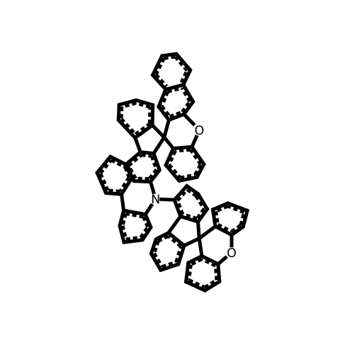 c1ccc(-c2ccccc2N(c2ccc3c(c2)C2(c4ccccc4Oc4cc5ccccc5cc42)c2ccccc2-3)c2cccc3c2-c2ccccc2C32c3ccccc3Oc3ccccc32)cc1